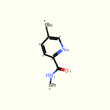 CCCNC(=O)c1ccc(C(C)(C)C)cn1